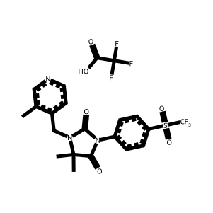 Cc1cnccc1CN1C(=O)N(c2ccc(S(=O)(=O)C(F)(F)F)cc2)C(=O)C1(C)C.O=C(O)C(F)(F)F